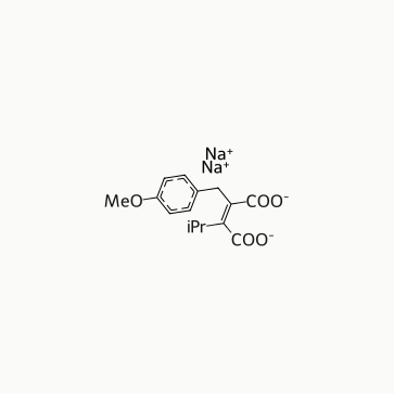 COc1ccc(CC(C(=O)[O-])=C(C(=O)[O-])C(C)C)cc1.[Na+].[Na+]